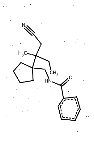 CCC(C)(CC#N)C1(CNC(=O)c2ccccc2)CCCC1